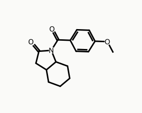 COc1ccc(C(=O)N2C(=O)CC3CCCCC32)cc1